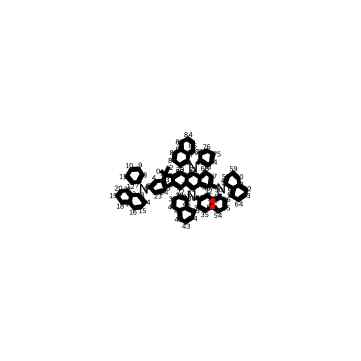 CC1(C)c2cc(N(c3ccccc3)c3cccc4ccccc34)ccc2-c2cc3c(N(c4ccccc4)c4cccc5ccccc45)c4cc(N(c5ccccc5)c5cccc6ccccc56)ccc4c(N(c4ccccc4)c4cccc5ccccc45)c3cc21